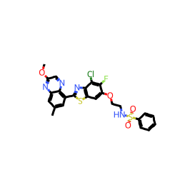 COc1cnc2c(-c3nc4c(Cl)c(F)c(OCCNS(=O)(=O)c5ccccc5)cc4s3)cc(C)cc2n1